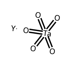 [O]=[Ta](=[O])(=[O])(=[O])=[O].[Y]